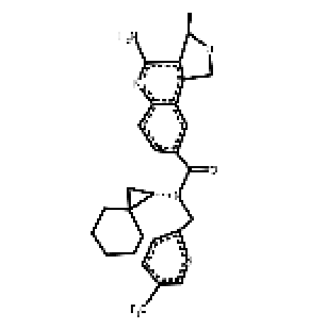 C[C@H]1OCc2c1c(N)nc1ccc(C(=O)N(Cc3ccc(C(F)(F)F)cn3)[C@H]3CC34CCCCC4)cc21